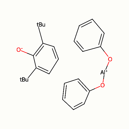 CC(C)(C)c1cccc(C(C)(C)C)c1[O-].c1ccc([O][Al+][O]c2ccccc2)cc1